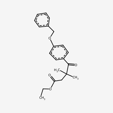 CCOC(=O)CC(C)(C)C(=O)c1ccc(OCc2ccccc2)cc1